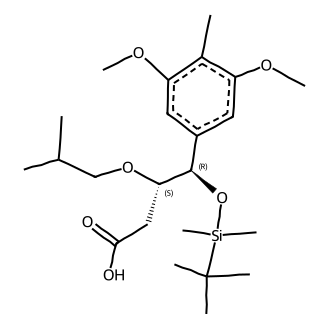 COc1cc([C@@H](O[Si](C)(C)C(C)(C)C)[C@H](CC(=O)O)OCC(C)C)cc(OC)c1C